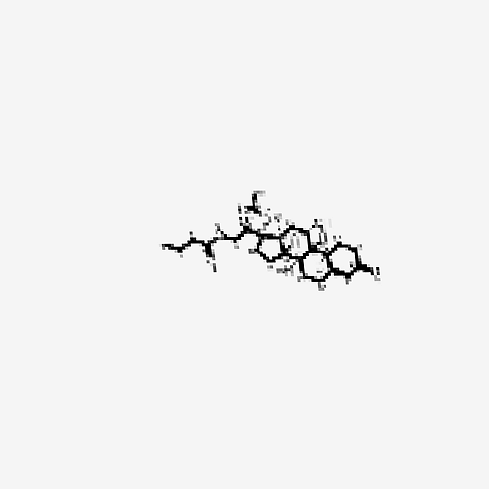 CCCC(=O)OCC(=O)[C@]1(OC(C)=O)CC[C@H]2[C@@H]3CCC4=CC(=O)CC[C@]4(C)[C@H]3[C@@H](O)C[C@@]21C